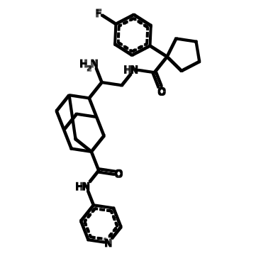 NC(CNC(=O)C1(c2ccc(F)cc2)CCCC1)C1C2CC3CC1CC(C(=O)Nc1ccncc1)(C3)C2